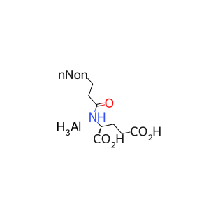 CCCCCCCCCCCC(=O)N[C@@H](CCC(=O)O)C(=O)O.[AlH3]